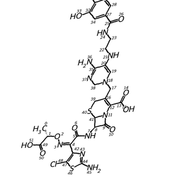 C[C@H](O/N=C(\C(=O)N[C@@H]1C(=O)N2C(C(=O)O)=C(CN3C=C(NCCNC(=O)c4ccc(O)c(O)c4)C(N)=NC3)CSC12)c1nc(N)sc1Cl)C(=O)O